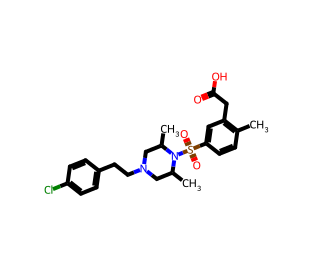 Cc1ccc(S(=O)(=O)N2C(C)CN(CCc3ccc(Cl)cc3)CC2C)cc1CC(=O)O